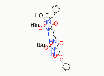 CC(C)(C)OC(=O)N[C@@H](CC(=O)OCc1ccccc1)C(=O)NCCC[C@H](NC(=O)OC(C)(C)C)C(=O)N[C@H](Cc1ccccc1)C(=O)O